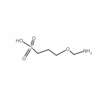 NCOCCCS(=O)(=O)O